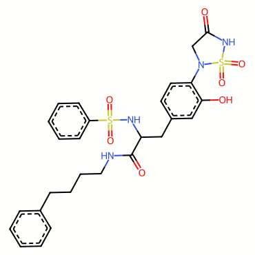 O=C1CN(c2ccc(CC(NS(=O)(=O)c3ccccc3)C(=O)NCCCCc3ccccc3)cc2O)S(=O)(=O)N1